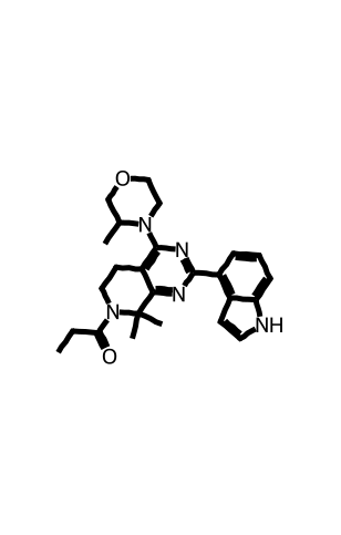 CCC(=O)N1CCc2c(N3CCOCC3C)nc(-c3cccc4[nH]ccc34)nc2C1(C)C